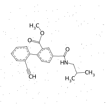 C#Cc1ccccc1-c1ccc(C(=O)NCC(C)C)cc1C(=O)OC